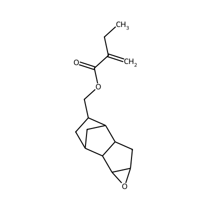 C=C(CC)C(=O)OCC1CC2CC1C1CC3OC3C21